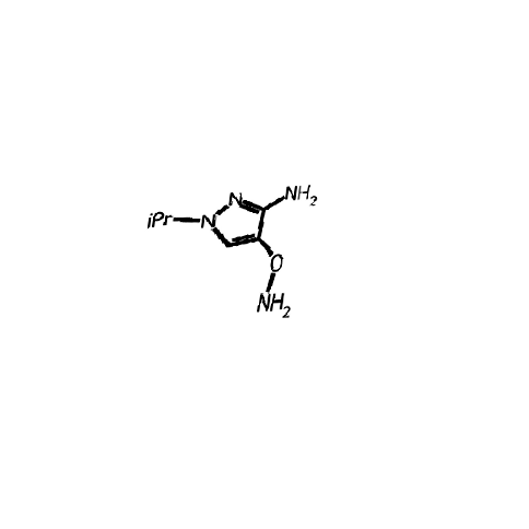 CC(C)n1cc(ON)c(N)n1